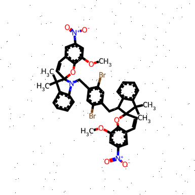 COc1cc([N+](=O)[O-])cc2c1OC1(C=C2)C(Cc2cc(Br)c(CN3c4ccccc4C(C)(C)C34C=Cc3cc([N+](=O)[O-])cc(OC)c3O4)cc2Br)c2ccccc2C1(C)C